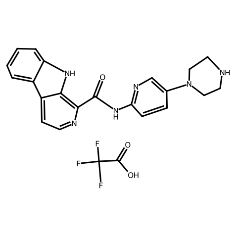 O=C(Nc1ccc(N2CCNCC2)cn1)c1nccc2c1[nH]c1ccccc12.O=C(O)C(F)(F)F